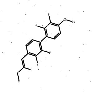 CCOc1ccc(-c2ccc(/C=C(\F)CF)c(F)c2F)c(F)c1F